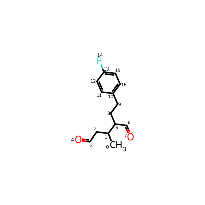 CC(CC=O)C(C=O)CCc1ccc(F)cc1